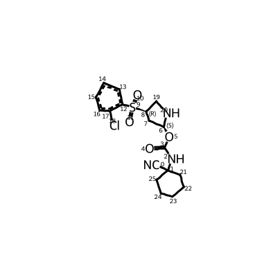 N#CC1(NC(=O)O[C@H]2C[C@@H](S(=O)(=O)c3ccccc3Cl)CN2)CCCCC1